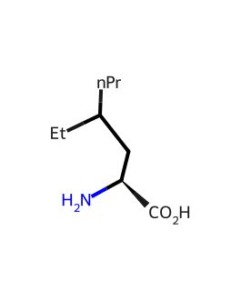 CCCC(CC)C[C@H](N)C(=O)O